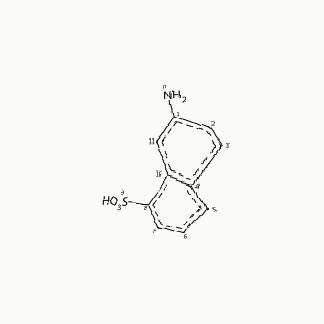 Nc1ccc2cccc(S(=O)(=O)O)c2c1